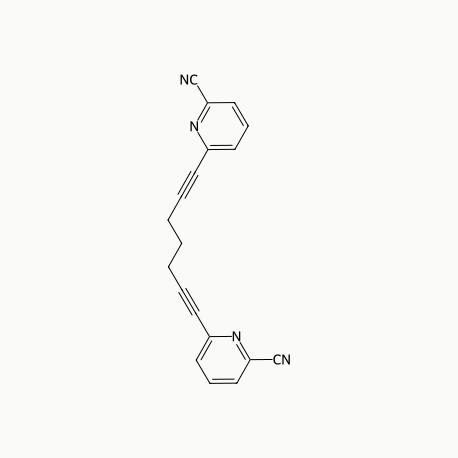 N#Cc1cccc(C#CCCCC#Cc2cccc(C#N)n2)n1